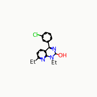 CCc1ccc2c(n1)N(CC)C(O)N=C2c1cccc(Cl)c1